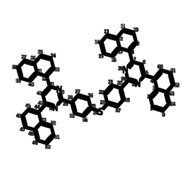 c1ccc2c(-c3cc(-c4cccc5ccccc45)nc(-c4ccc(Sc5ccc(-c6nc(-c7cccc8ccccc78)cc(-c7cccc8ccccc78)n6)cc5)cc4)n3)cccc2c1